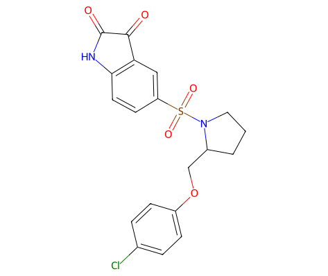 O=C1Nc2ccc(S(=O)(=O)N3CCCC3COc3ccc(Cl)cc3)cc2C1=O